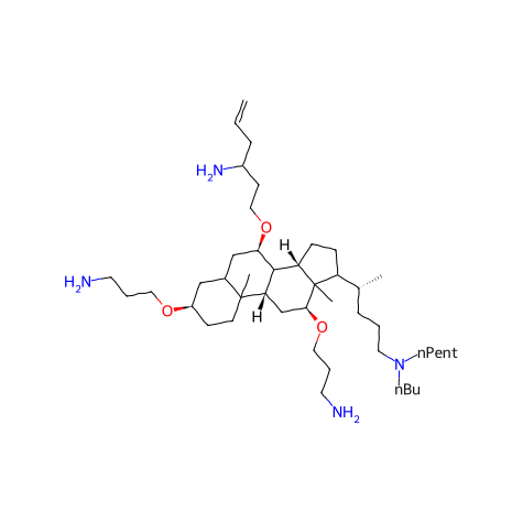 C=CCC(N)CCO[C@@H]1CC2C[C@H](OCCCN)CCC2(C)[C@H]2C[C@H](OCCCN)C3(C)C([C@H](C)CCCN(CCCC)CCCCC)CC[C@H]3C12